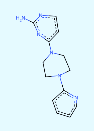 Nc1nccc(N2CCN(c3ccccn3)CC2)n1